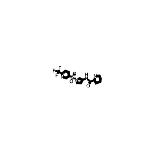 O=C(Nc1ccn(S(=O)(=O)c2ccc(C(F)(F)F)nc2)c1)c1ccccn1